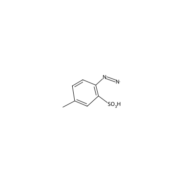 Cc1ccc(N=[N])c(S(=O)(=O)O)c1